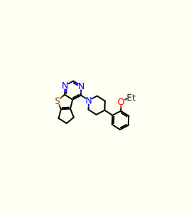 CCOc1ccccc1C1CCN(c2ncnc3sc4c(c23)CCC4)CC1